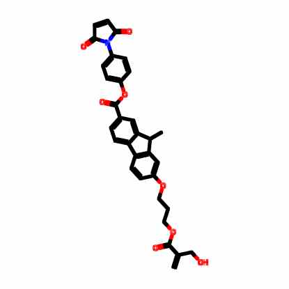 C=C(CO)C(=O)OCCCOc1ccc2c(c1)C(C)c1cc(C(=O)Oc3ccc(N4C(=O)C=CC4=O)cc3)ccc1-2